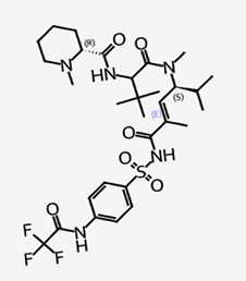 C/C(=C\[C@H](C(C)C)N(C)C(=O)C(NC(=O)[C@H]1CCCCN1C)C(C)(C)C)C(=O)NS(=O)(=O)c1ccc(NC(=O)C(F)(F)F)cc1